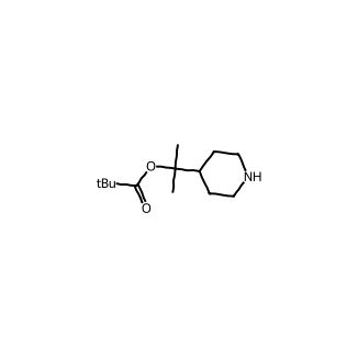 CC(C)(C)C(=O)OC(C)(C)C1CCNCC1